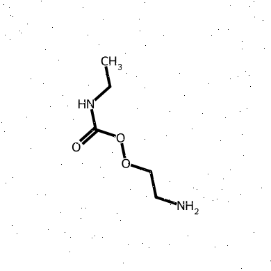 CCNC(=O)OOCCN